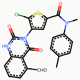 Cc1ccc(N(C)C(=O)c2cc(-n3c(=O)[nH]c4cccc(C=O)c4c3=O)c(Cl)s2)cc1